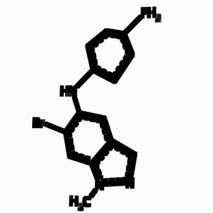 Cn1ncc2cc(Nc3ccc(P)cc3)c(Br)cc21